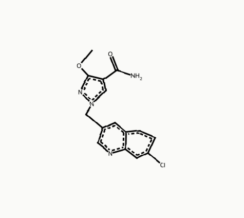 COc1nn(Cc2cnc3cc(Cl)ccc3c2)cc1C(N)=O